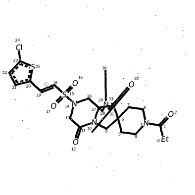 CCC(=O)N1CCC2(CC1)CN1C(=O)CN(S(=O)(=O)/C=C/c3ccc(Cl)s3)CC13CN(C)C(=O)N23